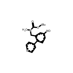 CN(Cc1cc(N=O)ccc1-c1ccncc1)C(=O)OC(C)(C)C